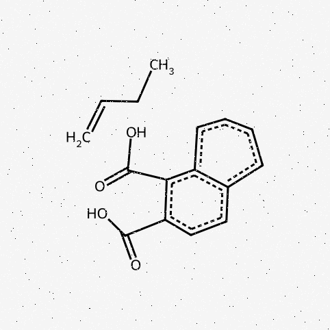 C=CCC.O=C(O)c1ccc2ccccc2c1C(=O)O